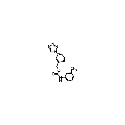 O=C(Nc1cccc(C(F)(F)F)c1)OCc1cccc(-n2cnnn2)c1